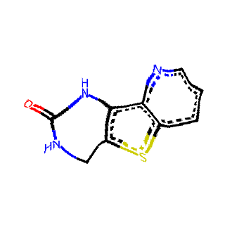 O=C1NCc2sc3cccnc3c2N1